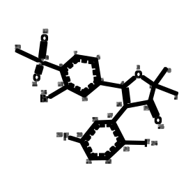 CC1(C)OC(c2ccc(S(C)(=O)=O)c(Br)c2)=C(c2cc(F)ccc2F)C1=O